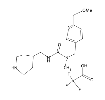 COCc1ccc(CN(C)C(=O)NCC2CCNCC2)cn1.O=C(O)C(F)(F)F